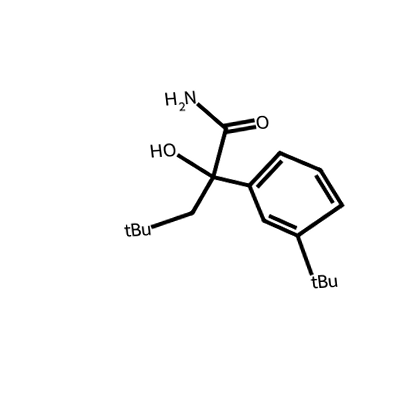 CC(C)(C)CC(O)(C(N)=O)c1cccc(C(C)(C)C)c1